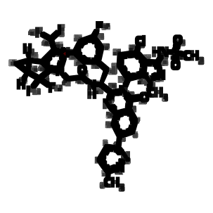 Cc1ccc(-c2ccc3c(=O)n(-c4ccc(Cl)c5c(NS(C)(=O)=O)nn(C)c45)c([C@H](Cc4cc(F)cc(F)c4)NC(=O)Cn4nc(C(F)F)c5c4C(F)(F)[C@@H]4C[C@H]54)nc3c2)nn1